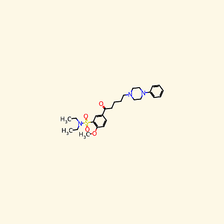 CCN(CC)S(=O)(=O)c1cc(C(=O)CCCCN2CCN(c3ccccc3)CC2)ccc1OC